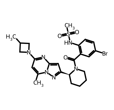 Cc1cc(N2CC(C)C2)nc2cc([C@@H]3CCCCN3C(=O)c3cc(Br)ccc3NS(C)(=O)=O)nn12